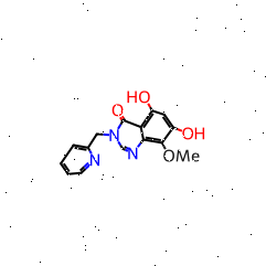 COc1c(O)cc(O)c2c(=O)n(Cc3ccccn3)cnc12